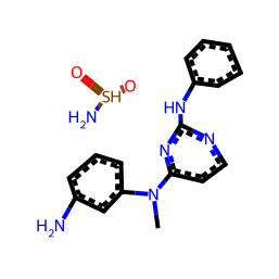 CN(c1cccc(N)c1)c1ccnc(Nc2ccccc2)n1.N[SH](=O)=O